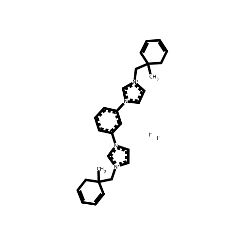 CC1(C[n+]2ccn(-c3cccc(-n4cc[n+](CC5(C)C=CC=CC5)c4)c3)c2)C=CC=CC1.[I-].[I-]